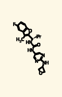 Cc1c([C@@H](NC(=O)Nc2cnc(NC3COC3)nc2)C(C)C)oc2ccc(F)cc12